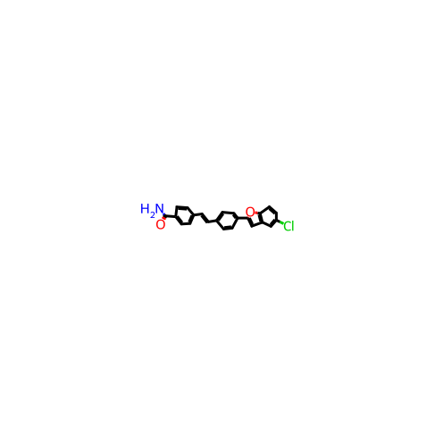 NC(=O)c1ccc(C=Cc2ccc(-c3cc4cc(Cl)ccc4o3)cc2)cc1